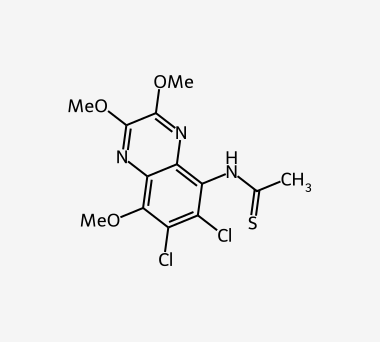 COc1nc2c(NC(C)=S)c(Cl)c(Cl)c(OC)c2nc1OC